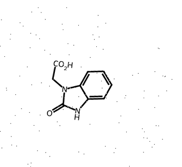 O=C(O)Cn1c(=O)[nH]c2ccccc21